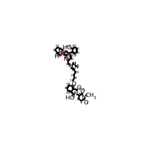 CN1C(=O)CCC(N2C(=O)c3c(OCCCCc4cn(Cc5cccc(N6CC7CC[C@H](C6)N7/C=C/C(=O)c6ccccc6O)n5)nn4)cccc3C2O)C1=O